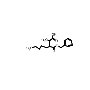 CCCCCC(C(=O)OCc1ccccc1)C(C)C(=O)O